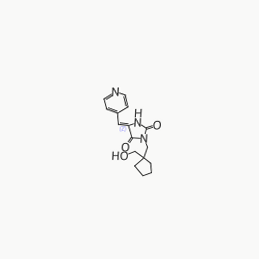 O=C1N/C(=C\c2ccncc2)C(=O)N1CC1(CO)CCCC1